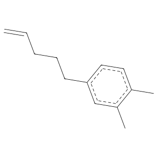 C=CCCCc1ccc(C)c(C)c1